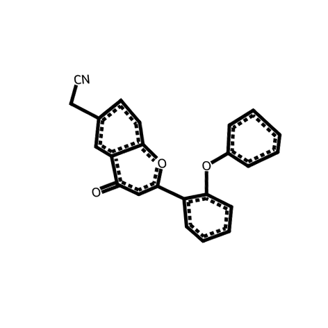 N#CCc1ccc2oc(-c3ccccc3Oc3ccccc3)cc(=O)c2c1